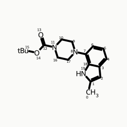 Cc1cc2cccc(N3CCN(C(=O)OC(C)(C)C)CC3)c2[nH]1